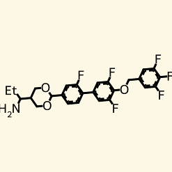 CCC(N)C1COC(c2ccc(-c3cc(F)c(OCc4cc(F)c(F)c(F)c4)c(F)c3)c(F)c2)OC1